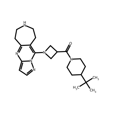 CC(C)(C)C1CCN(C(=O)C2CN(c3c4c(nc5ccnn35)CCNCC4)C2)CC1